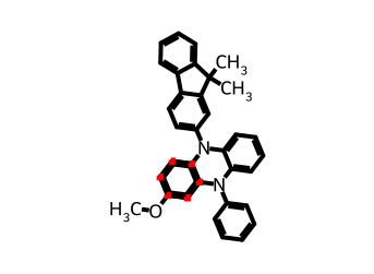 COc1ccc(N(c2ccc3c(c2)C(C)(C)c2ccccc2-3)c2ccccc2N(c2ccccc2)c2ccccc2)cc1